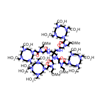 COCCN(CC(=O)NCC(CNC(=O)CN(CCOC)C(=O)CN1CCN(CC(=O)O)CCN(CC(=O)O)CCN(CC(=O)O)CC1)(CNC(=O)CN(CCOC)C(=O)CN1CCN(CC(=O)O)CCN(CC(=O)O)CCN(CC(=O)O)CC1)CNC(=O)CN(CCOC)C(=O)CN1CCN(CC(=O)O)CCN(CC(=O)O)CCN(CC(=O)O)CC1)C(=O)CN1CCN(CC(=O)O)CCN(CC(=O)O)CCN(CC(=O)O)CC1